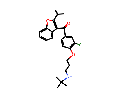 CC(C)c1oc2ccccc2c1C(=O)c1ccc(OCCCNC(C)(C)C)c(Cl)c1